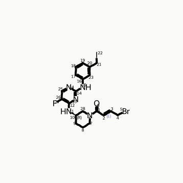 O=C(/C=C/CBr)N1CCC[C@@H](Nc2nc(Nc3cccc(CI)c3)ncc2F)C1